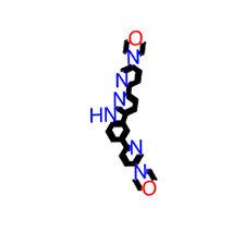 c1cc2[nH]c3nc(-c4ccc(N5CCOCC5)cn4)ccc3c2cc1-c1ccc(N2CCOCC2)cn1